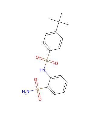 CC(C)(C)c1ccc(S(=O)(=O)Nc2ccccc2S(N)(=O)=O)cc1